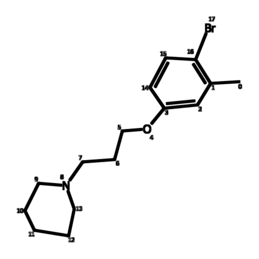 Cc1cc(OCCCN2CCCCC2)ccc1Br